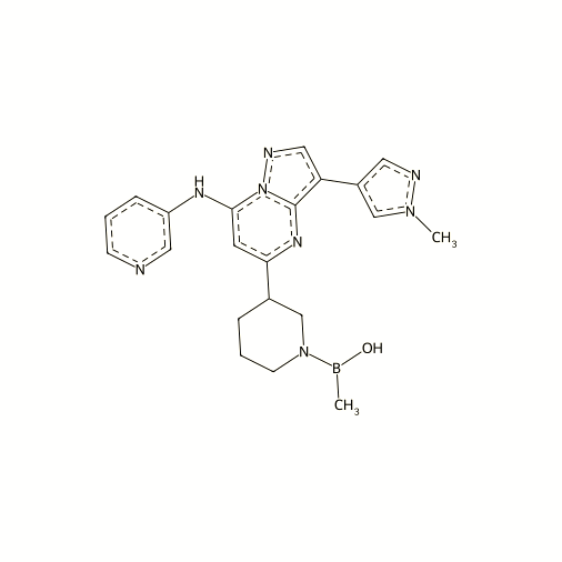 CB(O)N1CCCC(c2cc(Nc3cccnc3)n3ncc(-c4cnn(C)c4)c3n2)C1